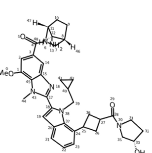 COc1cc(C(=O)N2C[C@H]3CC[C@@H]2[C@@H]3N)cc2nc(-c3cc4cccc(C5CC(C(=O)N6CC[C@H](O)C6)C5)c4n3CC3CC3)n(C)c12